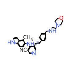 Cc1c(Nc2c(C#N)cncc2/C=C/c2ccc(CNCCN3CCOCC3)cc2)ccc2[nH]ccc12